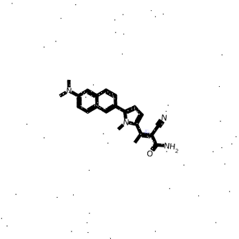 C/C(=C(/C#N)C(N)=O)c1ccc(-c2ccc3cc(N(C)C)ccc3c2)n1C